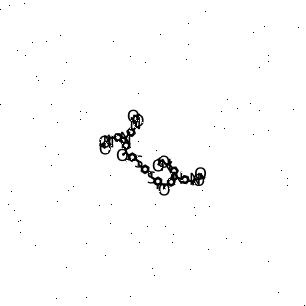 CC(=O)ON=C(C)c1ccc2c(c1)c1cc(C(=O)c3ccc(SCc4ccc(CSc5ccc(C(=O)c6ccc7c(c6)c6cc(C(C)=NOC(C)=O)ccc6n7-c6ccc(/C(C)=N/OC(C)=O)cc6)c(C)c5)cc4)cc3C)ccc1n2-c1ccc(/C(C)=N/OC(C)=O)cc1